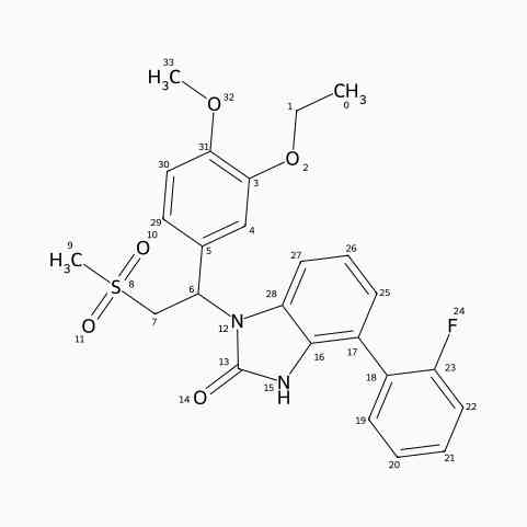 CCOc1cc(C(CS(C)(=O)=O)n2c(=O)[nH]c3c(-c4ccccc4F)cccc32)ccc1OC